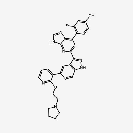 Oc1ccc(-c2cc(-c3n[nH]c4cnc(-c5cccnc5OCCN5CCCC5)cc34)nc3[nH]cnc23)c(F)c1